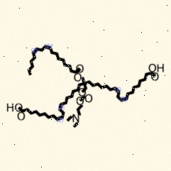 CCCCC/C=C\C/C=C\CCCCCCCC(=O)OCC(CCCCCC/C=C\C/C=C\CCCCCCCC(=O)O)(CCCCCC/C=C\C/C=C\CCCCCCCC(=O)O)COC(=O)OCCCN(CC)CC